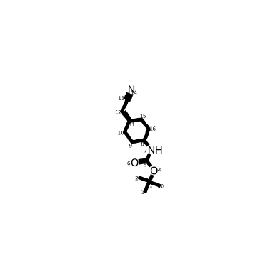 CC(C)(C)OC(=O)NC1CCC(=CC#N)CC1